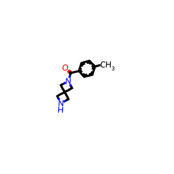 Cc1ccc(C(=O)N2CC3(CNC3)C2)cc1